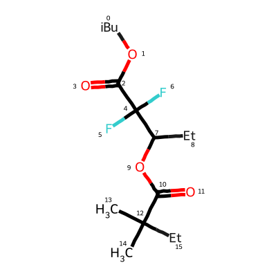 CCC(C)OC(=O)C(F)(F)C(CC)OC(=O)C(C)(C)CC